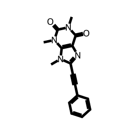 Cn1c(=O)c2nc(C#Cc3ccccc3)n(C)c2n(C)c1=O